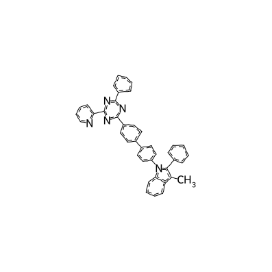 Cc1c(-c2ccccc2)n(-c2ccc(-c3ccc(-c4nc(-c5ccccc5)nc(-c5ccccn5)n4)cc3)cc2)c2ccccc12